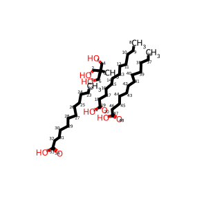 CC(CO)(CO)CO.CCCCCCCCCCCC(=O)O.CCCCCCCCCCCC(=O)O.CCCCCCCCCCCC(=O)O